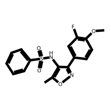 COc1ccc(-c2noc(C)c2NS(=O)(=O)c2ccccc2)cc1F